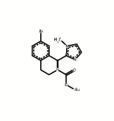 Cn1ccnc1C1c2cc(Br)ccc2CCN1C(=O)OC(C)(C)C